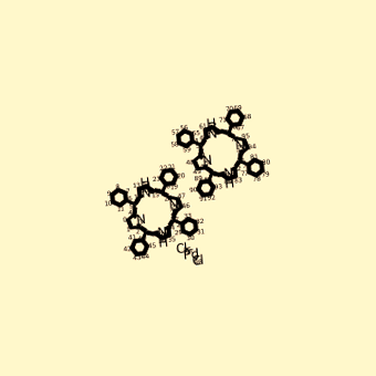 C1=Cc2nc1c(-c1ccccc1)c1ccc([nH]1)c(-c1ccccc1)c1nc(c(-c3ccccc3)c3ccc([nH]3)c2-c2ccccc2)C=C1.C1=Cc2nc1c(-c1ccccc1)c1ccc([nH]1)c(-c1ccccc1)c1nc(c(-c3ccccc3)c3ccc([nH]3)c2-c2ccccc2)C=C1.[Cl][Pd][Cl]